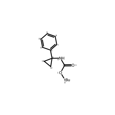 CC(C)(C)OC(=O)NC1(c2ccccc2)CC1